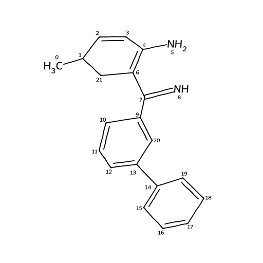 CC1C=CC(N)=C(C(=N)c2cccc(-c3ccccc3)c2)C1